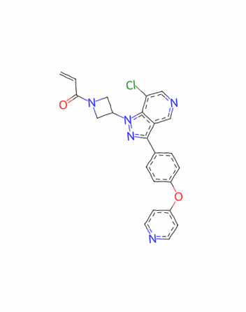 C=CC(=O)N1CC(n2nc(-c3ccc(Oc4ccncc4)cc3)c3cncc(Cl)c32)C1